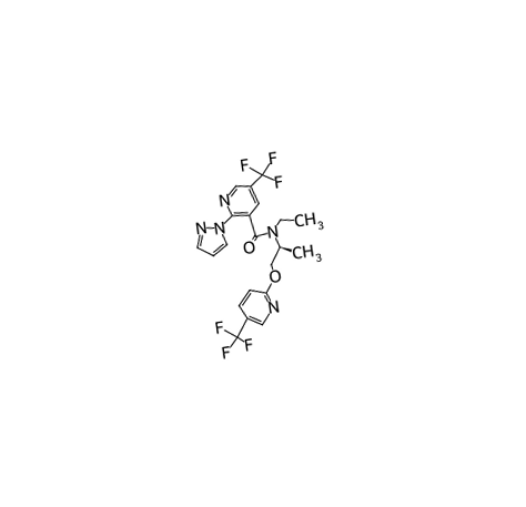 CCN(C(=O)c1cc(C(F)(F)F)cnc1-n1cccn1)[C@@H](C)COc1ccc(C(F)(F)F)cn1